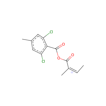 C/C=C(/C)C(=O)OC(=O)c1c(Cl)cc(C)cc1Cl